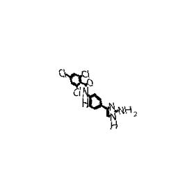 Nc1nc(-c2ccc(NC(=O)c3c(Cl)cc(Cl)cc3Cl)cc2)c[nH]1